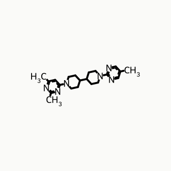 Cc1cnc(N2CCC(C3CCN(c4cc(C)nc(C)n4)CC3)CC2)nc1